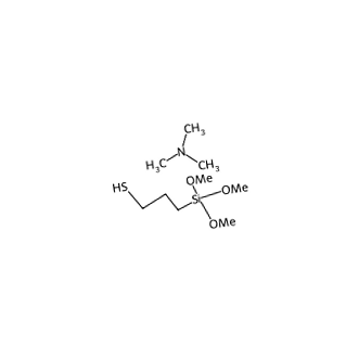 CN(C)C.CO[Si](CCCS)(OC)OC